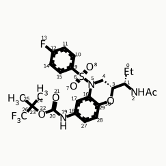 CC[C@H](NC(C)=O)[C@H]1CN(S(=O)(=O)c2ccc(F)cc2)c2cc(NC(=O)OC(C)(C)C(F)(F)F)ccc2O1